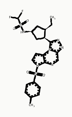 CC[C@@H]1C[C@H](NS(=O)(=O)C(F)F)C[C@@H]1c1nnc2cnc3c(ccn3S(=O)(=O)c3ccc(C)cc3)n12